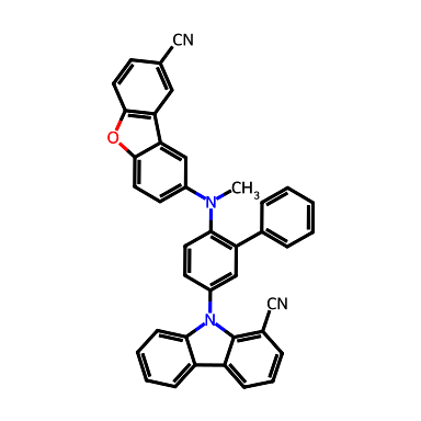 CN(c1ccc2oc3ccc(C#N)cc3c2c1)c1ccc(-n2c3ccccc3c3cccc(C#N)c32)cc1-c1ccccc1